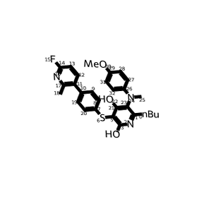 CCCCc1nc(O)c(Sc2ccc(-c3ccc(F)nc3C)cc2)c(O)c1N(C)c1ccc(OC)cc1